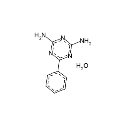 Nc1nc(N)nc(-c2ccccc2)n1.O